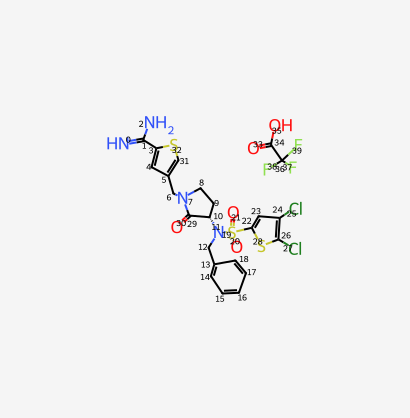 N=C(N)c1cc(CN2CC[C@H](N(Cc3ccccc3)S(=O)(=O)c3cc(Cl)c(Cl)s3)C2=O)cs1.O=C(O)C(F)(F)F